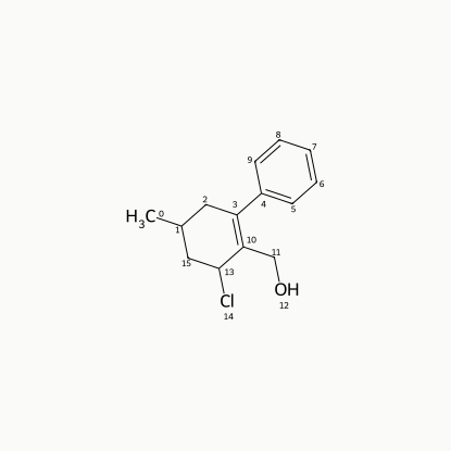 CC1CC(c2ccccc2)=C(CO)C(Cl)C1